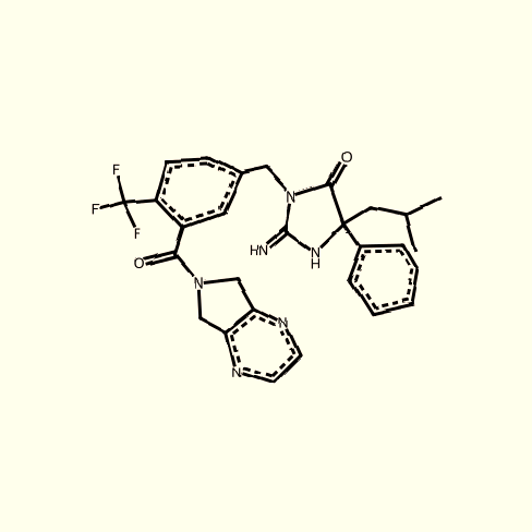 CC(C)CC1(c2ccccc2)NC(=N)N(Cc2ccc(C(F)(F)F)c(C(=O)N3Cc4nccnc4C3)c2)C1=O